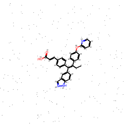 CC/C(=C(/c1ccc(/C=C/C(=O)O)cc1)c1ccc2[nH]ncc2c1)c1ccc(Oc2ccccn2)cc1